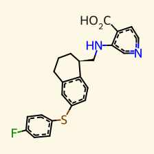 O=C(O)c1ccncc1NC[C@@H]1CCCc2cc(Sc3ccc(F)cc3)ccc21